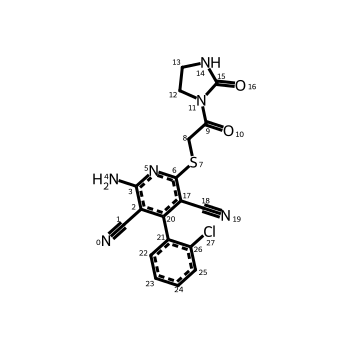 N#Cc1c(N)nc(SCC(=O)N2CCNC2=O)c(C#N)c1-c1ccccc1Cl